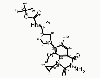 COc1c(N2CC[C@H]([C@@H](C)NC(=O)OC(C)(C)C)C2)c(F)cc2c(=O)n(N)c(=O)n(C3CC3)c12